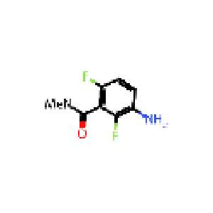 CNC(=O)c1c(F)ccc(N)c1F